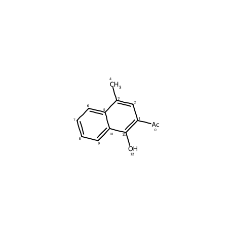 CC(=O)c1cc(C)c2ccccc2c1O